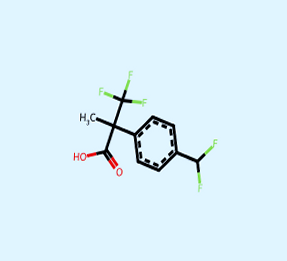 CC(C(=O)O)(c1ccc(C(F)F)cc1)C(F)(F)F